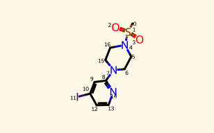 CS(=O)(=O)N1CCN(c2cc(I)ccn2)CC1